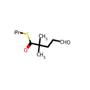 CC(C)SC(=O)C(C)(C)CCC=O